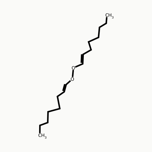 CCCCCCC=COOC=CCCCCCC